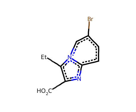 CCc1c(C(=O)O)nc2ccc(Br)cn12